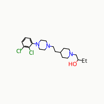 CCC(O)CN1CCC(CCN2CCN(c3cccc(Cl)c3Cl)CC2)CC1